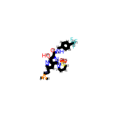 CP(C)/C=C/c1cnc2c(O)c(C(=O)NCc3ccc(C(F)(F)F)cc3)nc(N3CCCCS3(=O)=O)c2c1